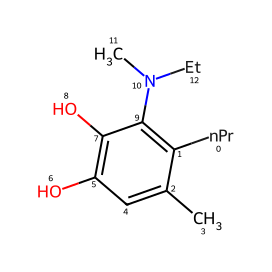 CCCc1c(C)cc(O)c(O)c1N(C)CC